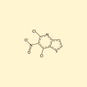 O=[N+]([O-])c1c(Cl)nc2ccsc2c1Cl